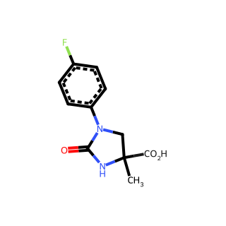 CC1(C(=O)O)CN(c2ccc(F)cc2)C(=O)N1